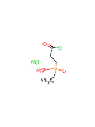 CP(=O)(O)CCC(=O)Cl.Cl